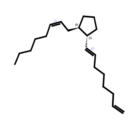 C=CCCCC/C=C/[C@H]1CCC[C@@H]1C/C=C\CCCCC